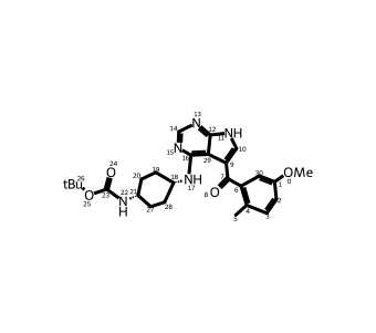 COc1ccc(C)c(C(=O)c2c[nH]c3ncnc(N[C@H]4CC[C@@H](NC(=O)OC(C)(C)C)CC4)c23)c1